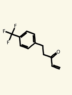 C=CC(=O)CCc1ccc(C(F)(F)F)cc1